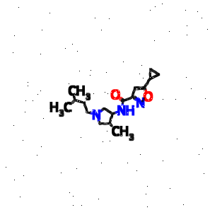 CC(C)CCN1CC(C)C(NC(=O)c2cc(C3CC3)on2)C1